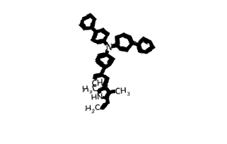 C/C=C\C1=C(C)C(=C/C(=C\C)c2ccc(N(C3=CC=C=C(c4ccccc4)C=C3)c3ccc(-c4ccccc4)cc3)cc2)/C(C)N1